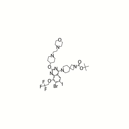 CC(C)(C)OC(=O)N1CC2(CCN(c3nc(OC4CCN(CCN5CCOCC5)CC4)nc4c(OCC(F)(F)F)c(Br)c(I)cc34)CC2)C1